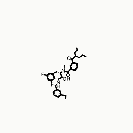 CCCC(CCC)C(=O)c1cccc(C(=O)N[C@@H](Cc2cc(F)cc(F)c2)[C@H](O)CNCc2cccc(CC)c2)c1